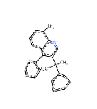 COC(C)(c1ccccc1)c1cnc2c(C(F)(F)F)cccc2c1-c1ccccc1